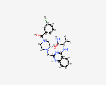 CC(C)[C@H](Nc1nc(CN2CCN(C(=O)c3cccc(Cl)c3)CC2)nc2ccccc12)C(N)=O